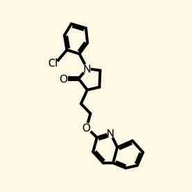 O=C1C(CCOc2ccc3ccccc3n2)CCN1c1ccccc1Cl